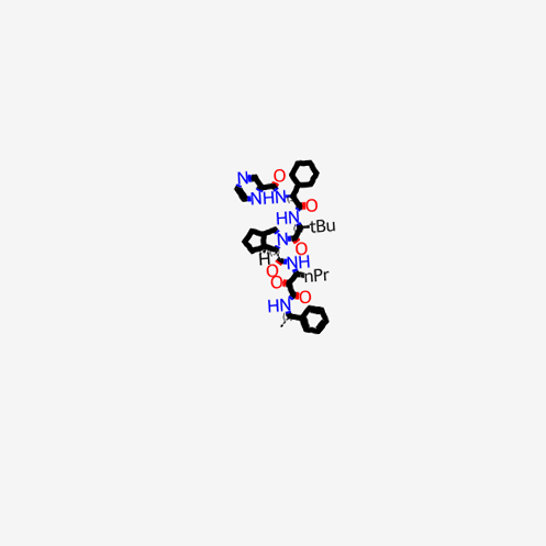 CCCC(NC(=O)[C@@H]1[C@H]2CCCC2CN1C(=O)[C@@H](NC(=O)[C@@H](NC(=O)c1cnccn1)C1CCCCC1)C(C)(C)C)C(=O)C(=O)N[C@@H](C)c1ccccc1